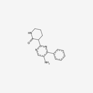 Nc1cnc(C2CCCNC2=O)nc1-c1ccccc1